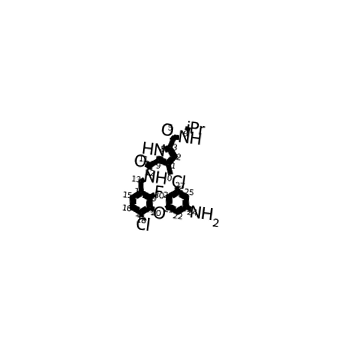 Cc1cc(C(=O)NC(C)C)[nH]c1C(=O)NCc1ccc(Cl)c(Oc2cc(N)cc(Cl)c2)c1F